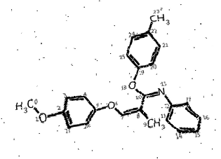 COc1ccc(OC=C(C)/C(=N\c2ccccc2)Oc2ccc(C)cc2)cc1